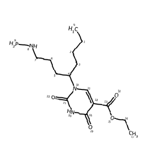 CCCCC(CCCNP)n1cc(C(=O)OCC)c(=O)[nH]c1=O